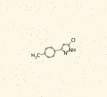 Cc1ccc(-c2cc(Cl)[nH]n2)cc1